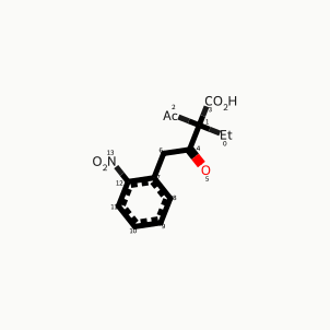 CCC(C(C)=O)(C(=O)O)C(=O)Cc1ccccc1[N+](=O)[O-]